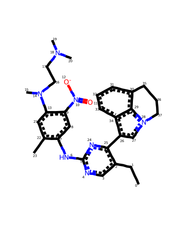 CCc1cnc(Nc2cc([N+](=O)[O-])c(N(C)CCN(C)C)cc2C)nc1-c1cn2c3c(cccc13)CCC2